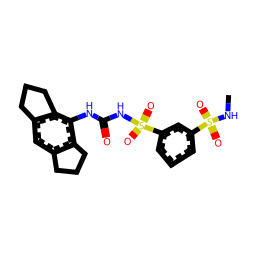 CNS(=O)(=O)c1cccc(S(=O)(=O)NC(=O)Nc2c3c(cc4c2CCC4)CCC3)c1